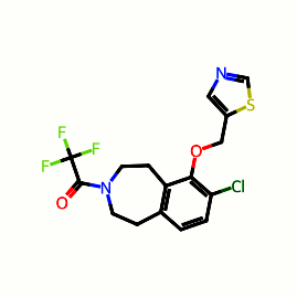 O=C(N1CCc2ccc(Cl)c(OCc3cncs3)c2CC1)C(F)(F)F